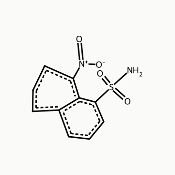 NS(=O)(=O)c1cccc2cccc([N+](=O)[O-])c12